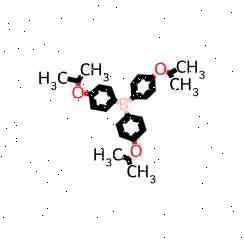 CC(C)Oc1ccc(B(c2ccc(OC(C)C)cc2)c2ccc(OC(C)C)cc2)cc1